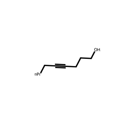 CCCCC#CCCCO